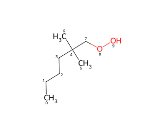 CCCCC(C)(C)COO